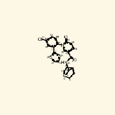 O=C(NC1CN2CCC1CC2)c1ccc(=O)n(-c2ccc(Cl)cc2-c2nccs2)c1